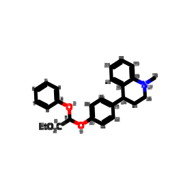 CCOC(=O)C(Oc1ccccc1)Oc1ccc(C2CCN(C)c3ccccc32)cc1